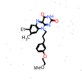 CCc1cc2nc3c(=O)[nH]c(=O)nc-3n(CCCc3cccc(OCCOC)c3)c2cc1C